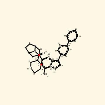 Nc1cc(C2CC3CCC(C2)N3C(=O)C2COCCN2)nc2c(-c3ccc(-c4ccccc4)nc3)cnn12